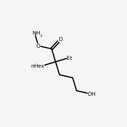 CCCCCCC(CC)(CCCO)C(=O)ON